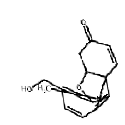 CN1CCC23C=CC(=O)CC2Oc2c(CO)ccc(c23)C1